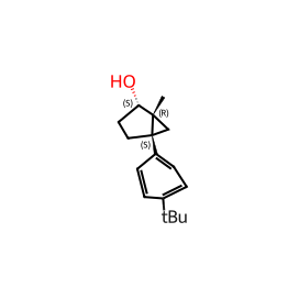 CC(C)(C)c1ccc([C@@]23CC[C@H](O)[C@]2(C)C3)cc1